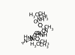 COc1c(C(=O)Nc2cnc(C)c(-c3ccc(C(=O)NCC(C)(C)C)cc3)c2)cc(C(C)(C)C)cc1-n1cc(CNC2CC2)nn1